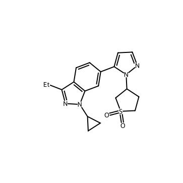 CCc1nn(C2CC2)c2cc(-c3ccnn3C3CCS(=O)(=O)C3)ccc12